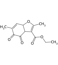 CCOC(=O)C1=C(C)OC2C=C(C)C(=O)C(=O)C12